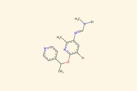 CCN(C)/C=N/c1cc(Br)c(OC(C)c2ccncc2)nc1C